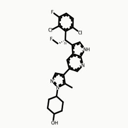 Cc1c(-c2cnc3[nH]cc([C@H](CF)c4c(Cl)ccc(F)c4Cl)c3c2)cnn1C1CCC(O)CC1